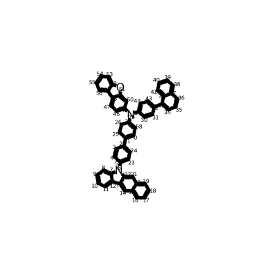 C1=C(c2ccc(-n3c4ccccc4c4cc5ccccc5cc43)cc2)CCC(N(c2ccc(-c3cccc4ccccc34)cc2)c2ccc3c(c2)oc2ccccc23)=C1